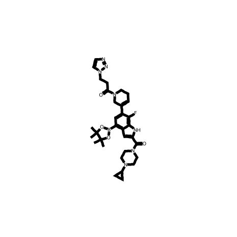 CC1(C)OB(c2cc(C3=CCCN(C(=O)CCn4ccnn4)C3)c(F)c3[nH]c(C(=O)N4CCN(C5CC5)CC4)cc23)OC1(C)C